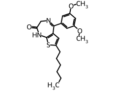 CCCCCCc1cc2c(s1)NC(=O)CN=C2c1cc(OC)cc(OC)c1